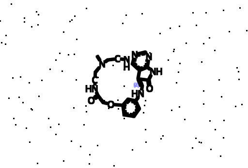 CN1CCNC(=O)COc2cccc(c2)N/C=C2\C(=O)Nc3ncnc(c32)NCC1